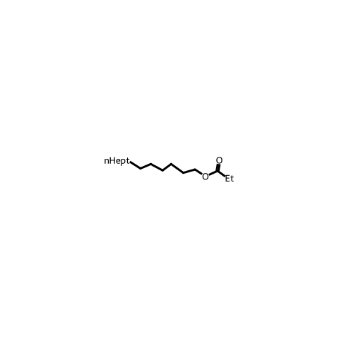 [CH2]CC(=O)OCCCCCCCCCCCCC